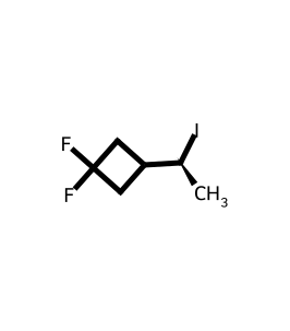 C[C@H](I)C1CC(F)(F)C1